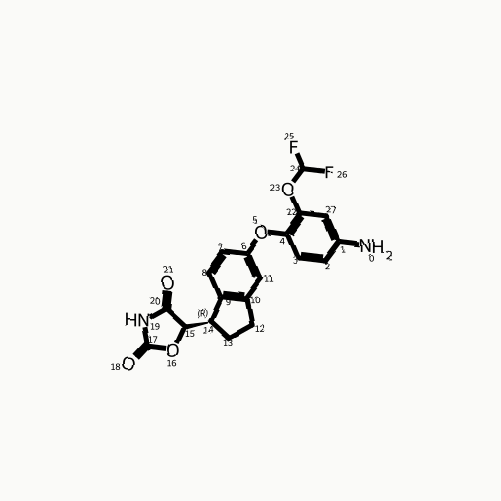 Nc1ccc(Oc2ccc3c(c2)CC[C@H]3C2OC(=O)NC2=O)c(OC(F)F)c1